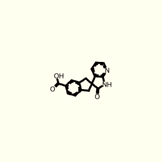 O=C(O)c1ccc2c(c1)CC1(C2)C(=O)Nc2ncccc21